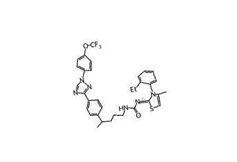 CCc1ccccc1-n1c(C)cs/c1=N\C(=O)NCCCC(C)c1ccc(-c2ncn(-c3ccc(OC(F)(F)F)cc3)n2)cc1